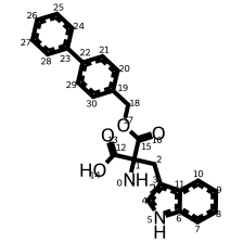 NC(Cc1c[nH]c2ccccc12)(C(=O)O)C(=O)OCc1ccc(-c2ccccc2)cc1